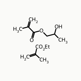 C=C(C)C(=O)OCC.C=C(C)C(=O)OCC(C)O